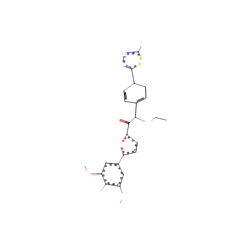 CCOC(C(=O)c1ccc(-c2cc(OC)c(Cl)c(OC)c2)o1)C1=CCC(c2nnc(C)s2)C=C1